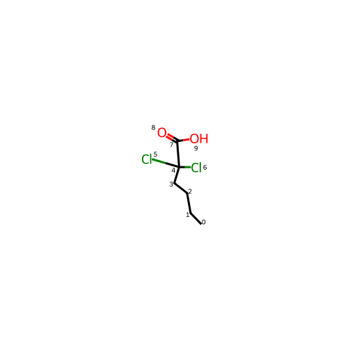 CCCCC(Cl)(Cl)C(=O)O